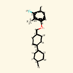 Cc1ccc(OCC2CCC(C3CCC(C)CC3)CC2)c(C(F)(F)F)c1F